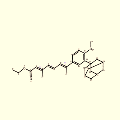 CCOC(=O)/C=C(C)/C=C/C=C(\C)c1ccc(OC)c(C23CC4CC(CC(C4)C2)C3)c1